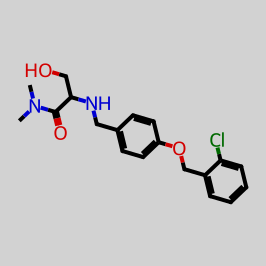 CN(C)C(=O)C(CO)NCc1ccc(OCc2ccccc2Cl)cc1